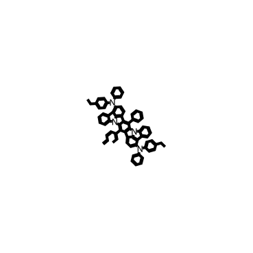 C=C/C=C\C(=C/C)c1c2c3ccc(N(c4ccccc4)c4ccc(CC)cc4)c4c5ccccc5n(c2c(-c2ccccc2)c2c5ccc(N(c6ccccc6)c6ccc(CC)cc6)c6c7ccccc7n(c12)c56)c34